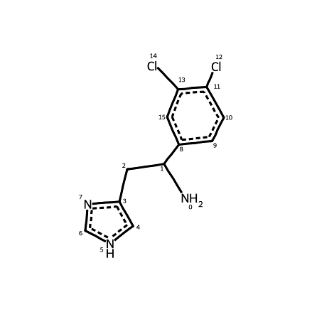 NC(Cc1c[nH]cn1)c1ccc(Cl)c(Cl)c1